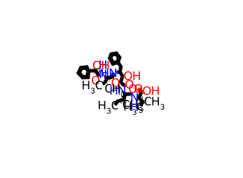 CC[C@H](C)[C@H](NC(=O)CC(O)C(Cc1ccccc1)NC(=O)[C@@H](NC(=O)[C@@H](O)c1ccccc1)C(C)C)C(=O)N[C@H](C(=O)O)C(C)C